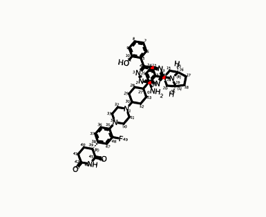 Nc1nnc(-c2ccccc2O)cc1N1C[C@H]2CC[C@@H](C1)N2c1nccc(C2CCC(N3CCN(c4ccc([C@H]5CCC(=O)NC5=O)cc4F)CC3)CC2)n1